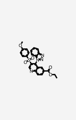 CCOC(=O)c1ccc2ncc(S(=O)(=O)c3ccc(OC)cc3)c(-n3nnc4ccccc43)c2c1